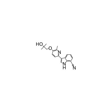 Cc1nc(-c2c[nH]c3c(C#N)cccc23)ccc1OCC(C)(C)O